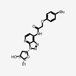 CC[C@H]1O[C@@H](n2nnc3c(NC(=O)COc4ccc(C(C)(C)C)cc4)ccnc32)C[C@@H]1O